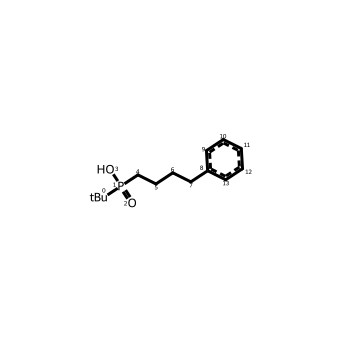 CC(C)(C)P(=O)(O)CCCCc1ccccc1